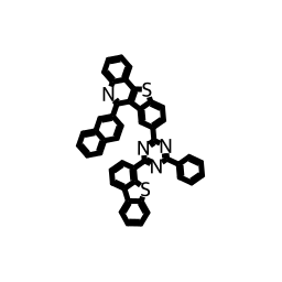 c1ccc(-c2nc(-c3ccc4sc5c6ccccc6nc(-c6ccc7ccccc7c6)c5c4c3)nc(-c3cccc4c3sc3ccccc34)n2)cc1